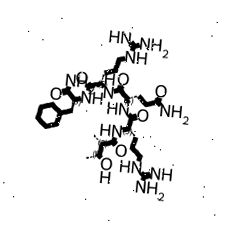 C[C@H](C(=O)N[C@@H](CCCNC(=N)N)C(=O)N[C@@H](CCC(N)=O)C(=O)N[C@@H](CCCNC(=N)N)C(=O)N[C@@H](CC1CCCCC1)C(N)=O)[C@@H](C)O